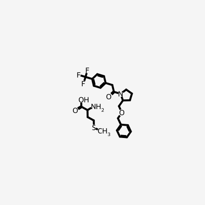 CSCCC(N)C(=O)O.O=C(Cc1ccc(C(F)(F)F)cc1)N1CCCC1COCc1ccccc1